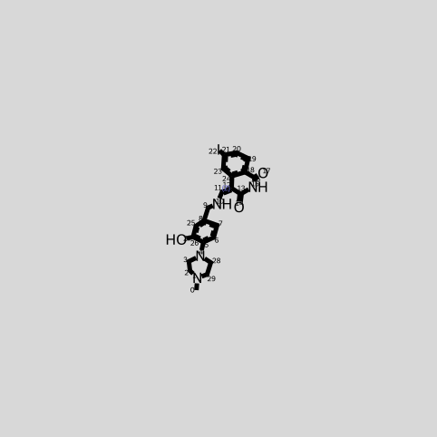 CN1CCN(c2ccc(CN/C=C3\C(=O)NC(=O)c4ccc(I)cc43)cc2O)CC1